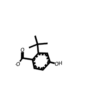 CC(C)(C)c1cc(O)ccc1C([O])=O